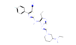 CCc1nc2sc(N3CCCC(N(C)CC)C3)nn2c1N(C)c1nc(-c2ccc(F)cc2)c(C#N)s1